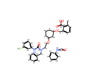 Cc1cccc(COC2CCCC(OCCN(Cc3ccccc3)C(=O)Nc3cccc(F)c3)C2)c1C(=O)O.O=C=Nc1ccccc1